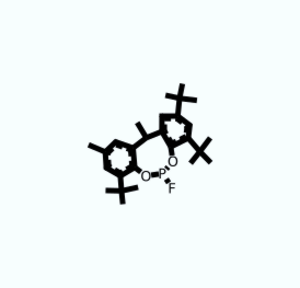 Cc1cc2c(c(C(C)(C)C)c1)OP(F)Oc1c(cc(C(C)(C)C)cc1C(C)(C)C)C2C